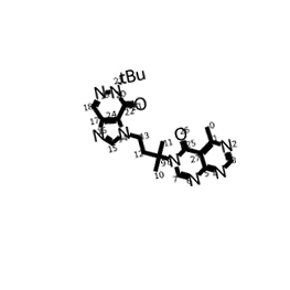 Cc1ncnc2ncn(C(C)(C)CCn3cnc4cnn(C(C)(C)C)c(=O)c43)c(=O)c12